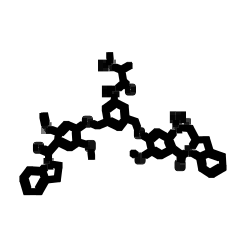 C=Nc1cc(OCc2cc(COc3cc4c(cc3OC)C(=O)N3c5ccccc5CC3CN4P)cc(NC(=O)C(C)NC)c2)c(OC)cc1C(=O)N1CCc2ccccc21